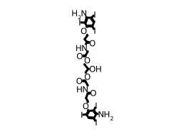 Nc1c(I)cc(I)c(OCCC(=O)NCC(=O)OCC(O)COC(=O)CNC(=O)CCOc2c(I)cc(I)c(N)c2I)c1I